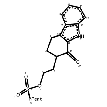 CCCCCS(=O)(=O)OCCC1CCc2c([nH]c3ccccc23)C1=O